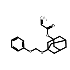 C=CC(=O)OC12CC3CC(C1)CC(SCSc1ccccc1)(C3)C2